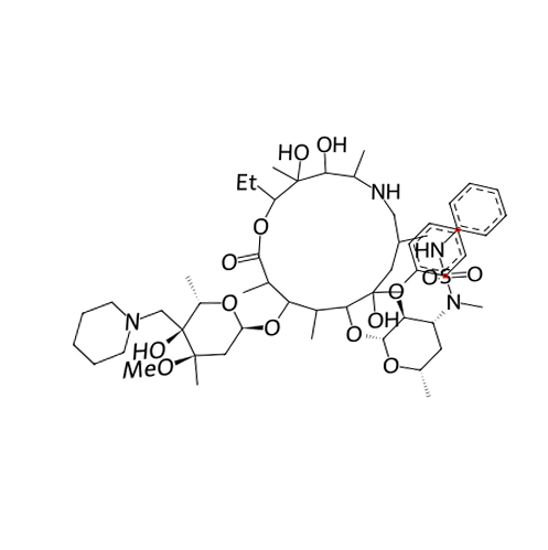 CCC1OC(=O)C(C)C(O[C@H]2C[C@@](C)(OC)[C@](O)(CN3CCCCC3)[C@H](C)O2)C(C)C(O[C@H]2O[C@@H](C)C[C@@H](N(C)S(=O)(=O)Nc3ccccc3)[C@@H]2Oc2ccccc2)C(C)(O)CC(C)CNC(C)C(O)C1(C)O